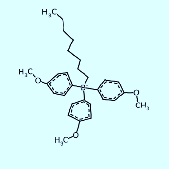 CCCCCCCC[B-](c1ccc(OC)cc1)(c1ccc(OC)cc1)c1ccc(OC)cc1